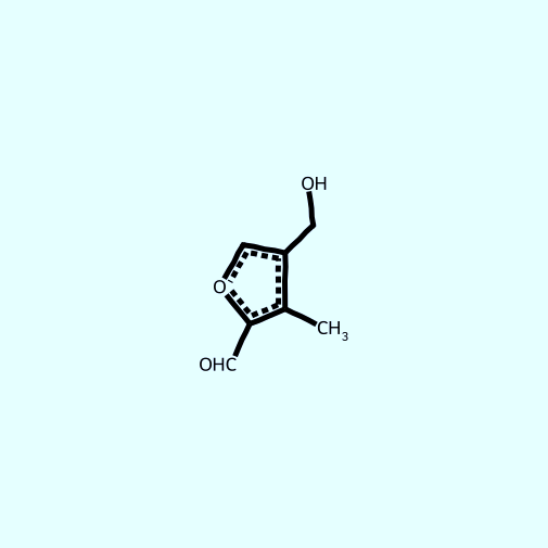 Cc1c(CO)coc1C=O